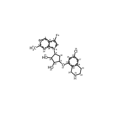 Cc1ncc2c(F)cn(C3CC(Oc4cc(Cl)cc5c4CNCC5)C(O)C3O)c2n1